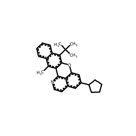 Cc1c2c(c(C(C)(C)C)c3ccccc13)Oc1cc(C3CCCC3)cc3ccnc-2c13